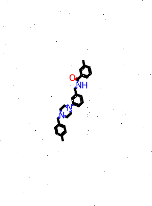 Cc1ccc(CN2CCN(c3cccc(CNC(=O)c4cccc(C)c4)c3)CC2)cc1